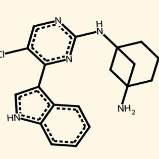 NC12CCCC(Nc3ncc(Cl)c(-c4c[nH]c5ccccc45)n3)(C1)C2